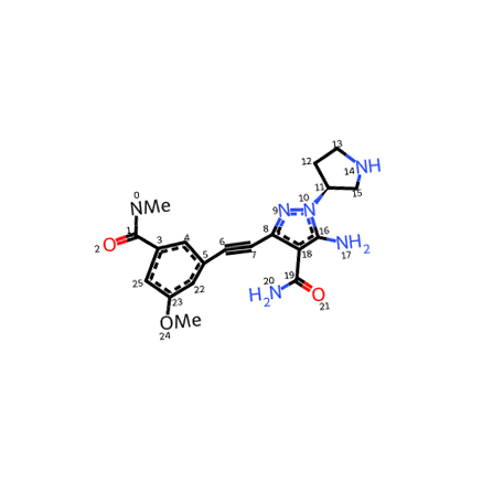 CNC(=O)c1cc(C#Cc2nn([C@H]3CCNC3)c(N)c2C(N)=O)cc(OC)c1